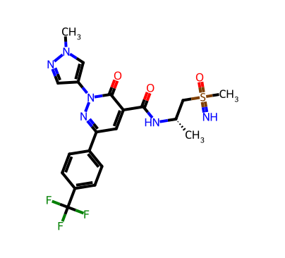 C[C@@H](CS(C)(=N)=O)NC(=O)c1cc(-c2ccc(C(F)(F)F)cc2)nn(-c2cnn(C)c2)c1=O